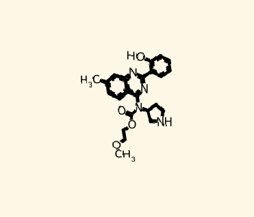 COCCOC(=O)N(c1nc(-c2ccccc2O)nc2cc(C)ccc12)C1CCNC1